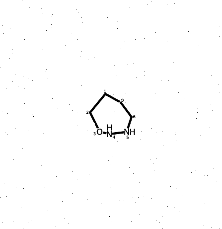 C1CCONNC1